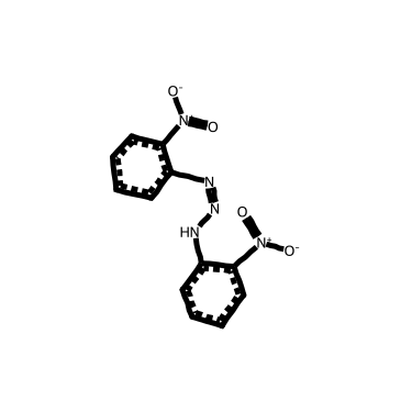 O=[N+]([O-])c1ccccc1/N=N\Nc1ccccc1[N+](=O)[O-]